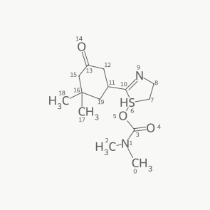 CN(C)C(=O)O[SH]1CCN=C1C1CC(=O)CC(C)(C)C1